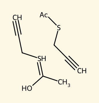 C#CCSC(C)=O.C#CC[SH]=C(C)O